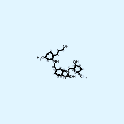 Cc1ccc(CCCO)c(NCc2ccc3nc(O)n(Cc4nc(C)ccc4O)c3c2)c1